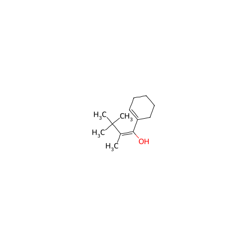 CC(=C(O)C1=CCCCC1)C(C)(C)C